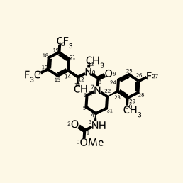 COC(=O)N[C@H]1CCN(C(=O)N(C)[C@@H](C)c2cc(C(F)(F)F)cc(C(F)(F)F)c2)[C@@H](c2ccc(F)cc2C)C1